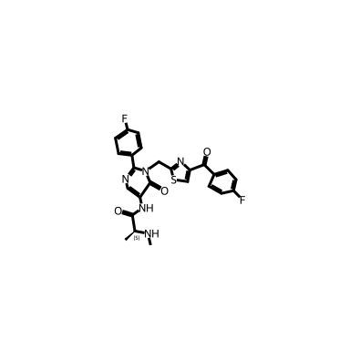 CN[C@@H](C)C(=O)Nc1cnc(-c2ccc(F)cc2)n(Cc2nc(C(=O)c3ccc(F)cc3)cs2)c1=O